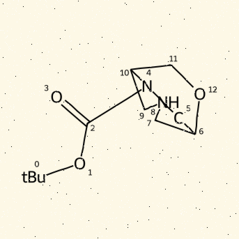 CC(C)(C)OC(=O)N1CC2CNCC1CO2